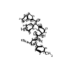 Cc1ccc(-n2nc(C(C)(C)C)cc2NC(=O)Nc2cccc(C(C(=O)C3=Cc4sccc4CC3)C3CCNCC3)c2)cc1